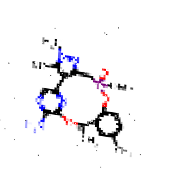 COP1(=O)Cc2nn(C)c(C#N)c2-c2cnc(N)c(n2)O[C@H](C)c2cc(C)ccc2O1